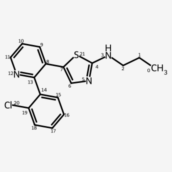 CCCNc1ncc(-c2cccnc2-c2ccccc2Cl)s1